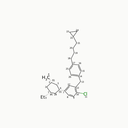 CC[C@@H]1C[C@H](C)C[C@H](c2ccc(Cl)c(Cc3ccc(CCCCC4CC4)cc3)c2)C1